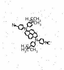 [C-]#[N+]c1ccc(N(c2ccc([Si](C)(C)C)cc2)c2ccc3ccc4c(N(c5ccc(C#N)cc5)c5ccc([Si](C)(C)C)cc5)ccc5ccc2c3c54)cc1